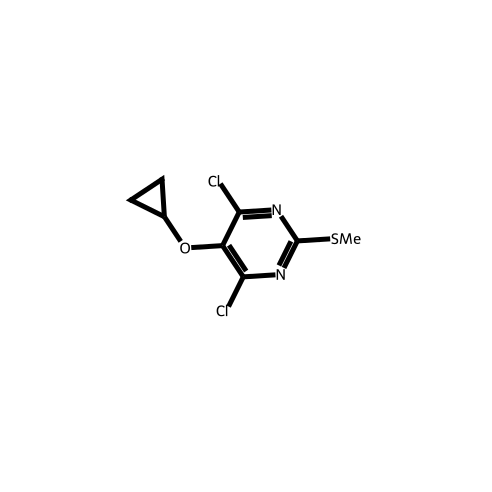 CSc1nc(Cl)c(OC2CC2)c(Cl)n1